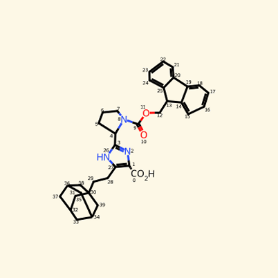 O=C(O)c1nc(C2CCCN2C(=O)OCC2c3ccccc3-c3ccccc32)[nH]c1CCC12CC3CC(CC(C3)C1)C2